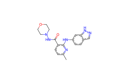 Cc1ccc(C(=O)NN2CCOCC2)c(Nc2ccc3cn[nH]c3c2)n1